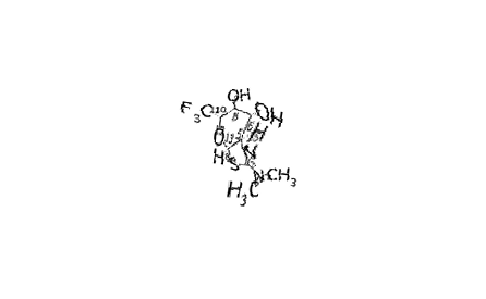 CN(C)C1=N[C@@H]2[C@@H](O)[C@H](O)[C@@H](C(F)(F)F)O[C@@H]2S1